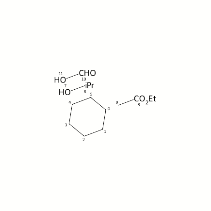 C1CCCCC1.CC(C)O.CCOC(C)=O.O=CO